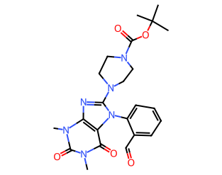 Cn1c(=O)c2c(nc(N3CCN(C(=O)OC(C)(C)C)CC3)n2-c2ccccc2C=O)n(C)c1=O